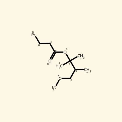 CCOCC(C)C(C)(C)OC(=O)CCC(C)C